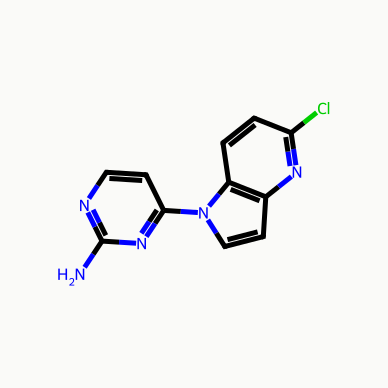 Nc1nccc(-n2ccc3nc(Cl)ccc32)n1